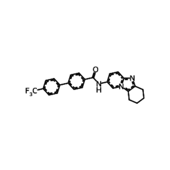 O=C(Nc1ccc2nc3c(n2c1)CCCC3)c1ccc(-c2ccc(C(F)(F)F)cc2)cc1